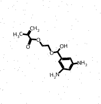 C=C(C)C(=O)OCCOC(O)c1cc(N)cc(N)c1